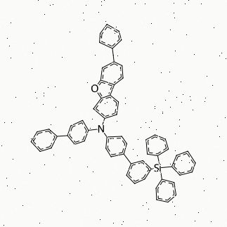 c1ccc(-c2ccc(N(c3ccc(-c4cccc([Si](c5ccccc5)(c5ccccc5)c5ccccc5)c4)cc3)c3ccc4c(c3)oc3cc(-c5ccccc5)ccc34)cc2)cc1